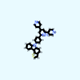 C1=C(c2ccncc2)C=C(c2ccncc2)NC1c1ccc(-n2c3ccccc3c3c4sccc4ccc32)cc1